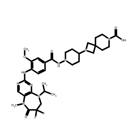 COc1cc(C(=O)NN2CCC(N3CC4(CCN(C(=O)O)CC4)C3)CC2)ccc1Nc1ncc2c(n1)N(C(C)C)CC(F)(F)C(=O)N2C